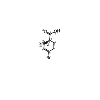 O=C(O)c1ccc(Br)cc1.[SnH2]